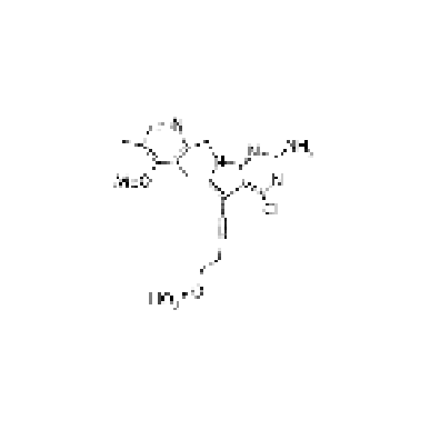 COc1c(C)cnc(Cn2cc(C#CCCOS(=O)(=O)O)c3c(Cl)nc(N)nc32)c1C